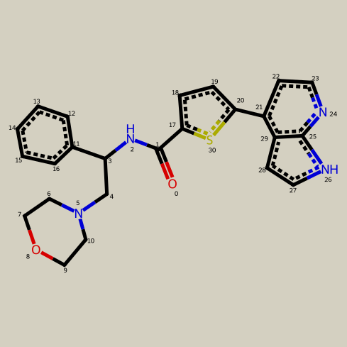 O=C(NC(CN1CCOCC1)c1ccccc1)c1ccc(-c2ccnc3[nH]ccc23)s1